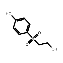 O=S(=O)(CCO)c1ccc(O)cc1